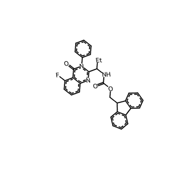 CCC(NC(=O)OCC1c2ccccc2-c2ccccc21)c1nc2cccc(F)c2c(=O)n1-c1ccccc1